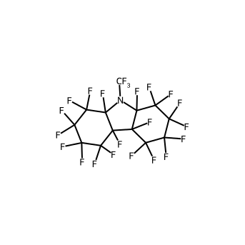 FC(F)(F)N1C2(F)C(F)(F)C(F)(F)C(F)(F)C(F)(F)C2(F)C2(F)C(F)(F)C(F)(F)C(F)(F)C(F)(F)C12F